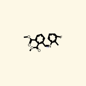 COC(=O)c1cccc(/C=N\c2cccc(F)c2C)c1C(=O)OC